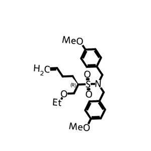 C=CCC[C@H](COCC)S(=O)(=O)N(Cc1ccc(OC)cc1)Cc1ccc(OC)cc1